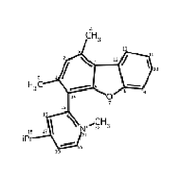 Cc1cc(C)c2c(oc3ccccc32)c1-c1cc(C(C)C)cc[n+]1C